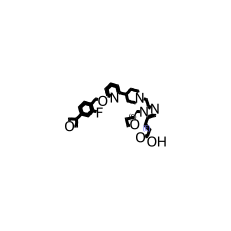 O=C(O)/C=C/c1cnc(CN2CCC(c3cccc(OCc4ccc(C5COC5)cc4F)n3)CC2)n1C[C@@H]1CCO1